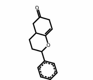 O=C1CC=C2OC(c3ccccc3)CCC2C1